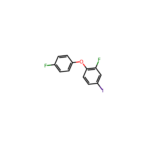 Fc1ccc(Oc2ccc(I)cc2F)cc1